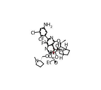 CC[C@@H](OS(=O)(=O)CC)C(=O)N1[C@@H]2CC[C@H]1[C@H]1[C@H](C)Oc3nc(-c4cc(N)cc(Cl)c4C(F)(F)F)c(F)c4nc(OC[C@@H]5CCCN5C)nc(c34)N1C2